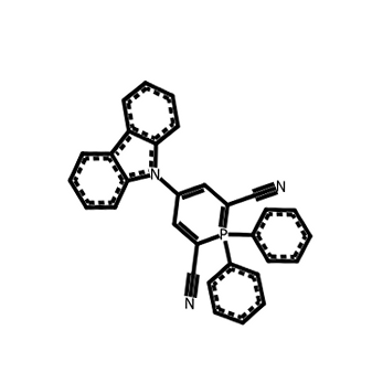 N#CC1=CC(n2c3ccccc3c3ccccc32)=CC(C#N)=P1(c1ccccc1)c1ccccc1